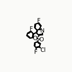 O=S(=O)(c1ccc(F)c(Cl)c1)c1cnc2cc(F)ccc2c1-c1ccccc1F